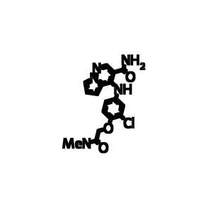 CNC(=O)COc1ccc(Nc2c(C(N)=O)cnn3cccc23)cc1Cl